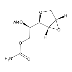 CO[C@H](COC(N)=O)[C@H]1OC[C@@H]2O[C@H]12